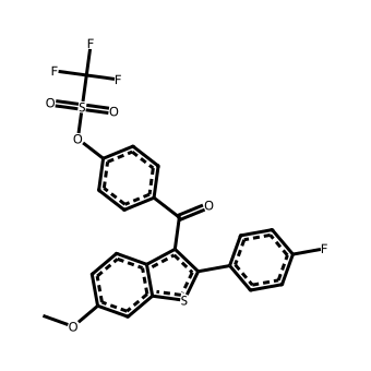 COc1ccc2c(C(=O)c3ccc(OS(=O)(=O)C(F)(F)F)cc3)c(-c3ccc(F)cc3)sc2c1